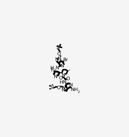 C[C@H]1CC[C@H](c2cncc(F)c2)N(C(=O)C(=O)Nc2cnc(N)c3cnn(COCC[Si](C)(C)C)c23)C1.C[Si](C)(C)CCOCn1ncc2c(N)ncc(Br)c21